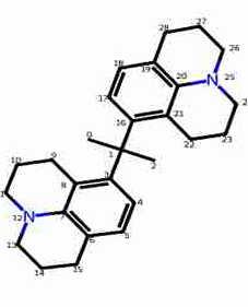 CC(C)(c1ccc2c3c1CCCN3CCC2)c1ccc2c3c1CCCN3CCC2